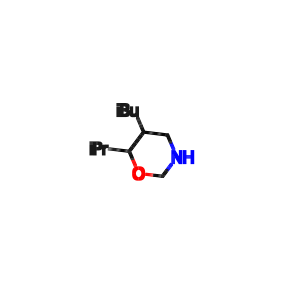 CCC(C)C1CNCOC1C(C)C